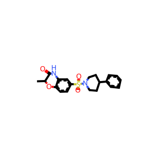 CC1Oc2ccc(S(=O)(=O)N3CCC(c4ccccc4)CC3)cc2NC1=O